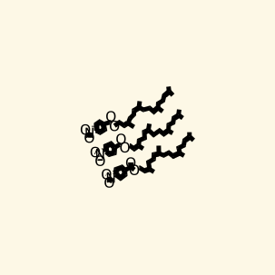 CC(C)=CCCC(C)=CCCC(C)=CCCC(C)=CCOC(=O)c1ccc([N+](=O)[O-])cc1.CC(C)=CCCC(C)=CCCC(C)=CCCC(C)=CCOC(=O)c1ccc([N+](=O)[O-])cc1.CC(C)=CCCC(C)=CCCC(C)=CCCC(C)=CCOC(=O)c1ccc([N+](=O)[O-])cc1